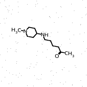 CC(=O)CCCCNC1CCN(C)CC1